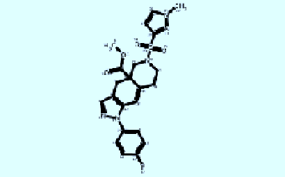 COC(=O)C12Cc3cnn(-c4ccc(F)cc4)c3C=C1CCN(S(=O)(=O)c1ccn(C)n1)C2